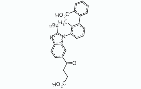 CCCCc1nc2ccc(C(=O)CCC(=O)O)cc2n1-c1cccc(-c2ccccc2C(=O)O)c1C